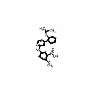 COc1ccc(Nc2cc(-c3ccccc3OC(C)C)ncn2)cc1[N+](=O)O